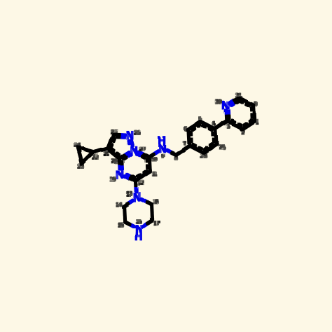 c1ccc(-c2ccc(CNc3cc(N4CCNCC4)nc4c(C5CC5)cnn34)cc2)nc1